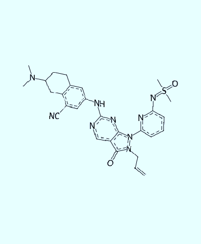 C=CCn1c(=O)c2cnc(Nc3cc(C#N)c4c(c3)CCC(N(C)C)C4)nc2n1-c1cccc(N=S(C)(C)=O)n1